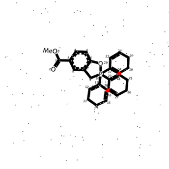 COC(=O)c1ccc2c(c1)CP(C1=CCCC=C1)(C1=CCCC=C1)(C1=CCCC=C1)O2